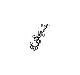 CCN(CC)CCCNC(=O)NCc1cc(=O)oc2cc(CC(=O)ON3C(=O)CCC3=O)ccc12